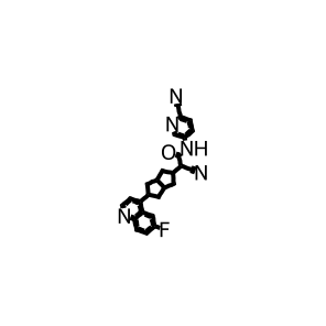 N#Cc1ccc(NC(=O)C(C#N)C2CC3CC(c4ccnc5ccc(F)cc45)CC3C2)cn1